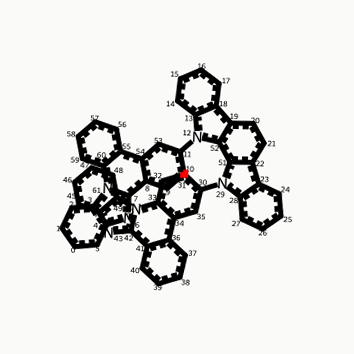 c1ccc2c(c1)nc1c3ccc(-n4c5ccccc5c5ccc6c7ccccc7n(-c7ccc8c(c7)c7ccccc7c7nc9ccccc9n87)c6c54)cc3c3ccccc3n21